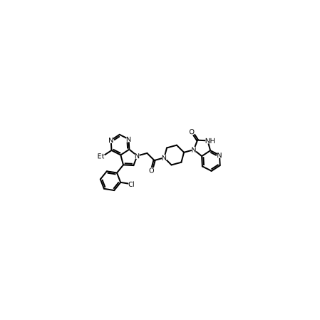 CCc1ncnc2c1c(-c1ccccc1Cl)cn2CC(=O)N1CCC(n2c(=O)[nH]c3ncccc32)CC1